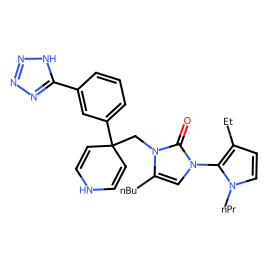 CCCCc1cn(-c2c(CC)ccn2CCC)c(=O)n1CC1(c2cccc(-c3nnn[nH]3)c2)C=CNC=C1